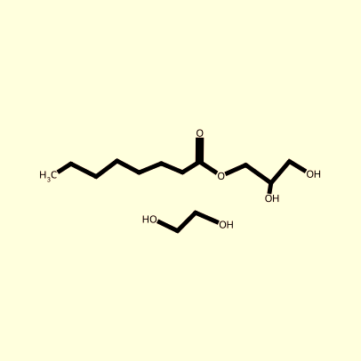 CCCCCCCC(=O)OCC(O)CO.OCCO